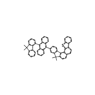 CC1(C)c2ccccc2-c2c(-c3c4ccccc4c(-c4ccc5c(c4)C(C)(C)c4ccc6ccc7c8ccccc8sc7c6c4-5)c4ccccc34)cccc21